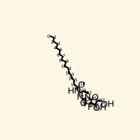 CCCCCCCCCCCCCCCCCC(=O)Nc1ccn(C2OC(CO)C(O)C2(F)F)c(=O)n1